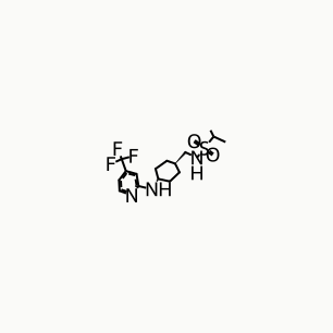 CC(C)S(=O)(=O)NC[C@H]1CC[C@H](Nc2cc(C(F)(F)F)ccn2)CC1